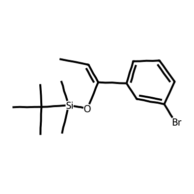 CC=C(O[Si](C)(C)C(C)(C)C)c1cccc(Br)c1